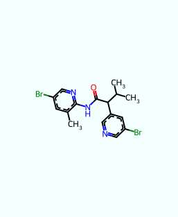 Cc1cc(Br)cnc1NC(=O)C(c1cncc(Br)c1)C(C)C